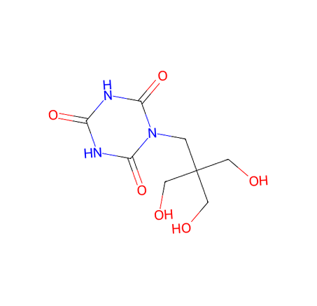 O=c1[nH]c(=O)n(CC(CO)(CO)CO)c(=O)[nH]1